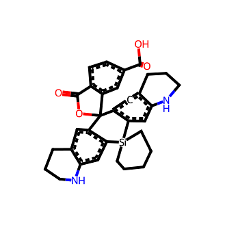 O=C(O)c1ccc2c(c1)C1(OC2=O)c2cc3c(cc2[Si]2(CCCCC2)c2cc4c(cc21)CCCN4)NCCC3